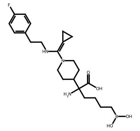 NC(CCCCB(O)O)(C(=O)O)C1CCN(C(NCCc2ccc(F)cc2)=C2CC2)CC1